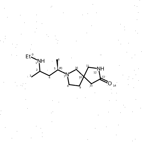 CCNC(C)C[C@@H](C)N1CCC2(CNC(=O)C2)C1